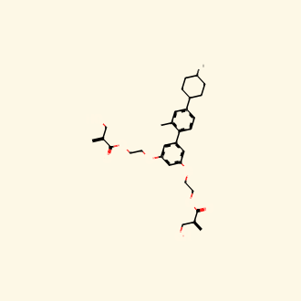 C=C(CO)C(=O)OCCOc1cc(OCCOC(=O)C(=C)CO)cc(-c2ccc(C3CCC(CCC)CC3)cc2C)c1